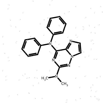 CN(C)c1nc(N(c2ccccc2)c2ccccc2)c2nccn2n1